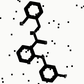 O=C(NCc1ccccc1Cl)c1cccnc1Oc1cccc(F)c1